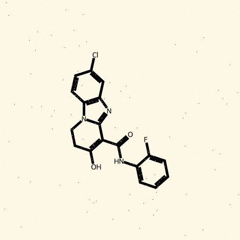 O=C(Nc1ccccc1F)C1=C(O)CCn2c1nc1cc(Cl)ccc12